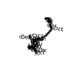 CCCCCCCCCCC(CCCCCCCC)CNC(=O)C(O)(c1cc2c(s1)C=C[SH]2CCCCCCCCCCC(CCCCCCCC)CNC(=O)Cc1cc2sccc2s1)C1CC(=O)C(C(O)(C(=O)NCC(CCCCCCCC)CCCCCCCCCC)c2cc3sccc3s2)CC1=O